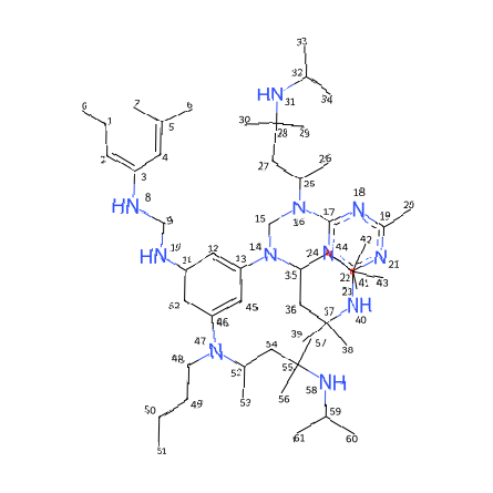 CC/C=C(\C=C(C)C)NCNC1C=C(N(CN(c2nc(C)nc(C)n2)C(C)CC(C)(C)NC(C)C)C2CC(C)(C)NC(C)(C)C2)C=C(N(CCCC)C(C)CC(C)(C)NC(C)C)C1